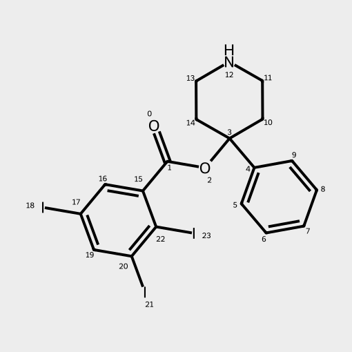 O=C(OC1(c2ccccc2)CCNCC1)c1cc(I)cc(I)c1I